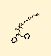 CC(C)(OCCCOCCC#N)C(F)CN(Cc1ccccc1)Cc1ccccc1